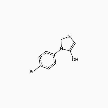 OC1=CSCN1c1ccc(Br)cc1